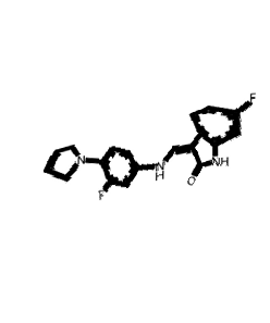 O=C1Nc2cc(F)ccc2C1=CNc1ccc(N2CC=CC2)c(F)c1